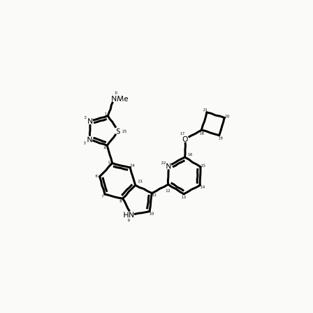 CNc1nnc(-c2ccc3[nH]cc(-c4cccc(OC5CCC5)n4)c3c2)s1